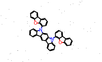 c1ccc2c(c1)oc1c(-n3c4ccccc4c4cc5c6ccccc6n(-c6cccc7c6oc6ccccc67)c5cc43)cccc12